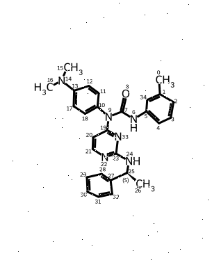 Cc1cccc(NC(=O)N(c2ccc(N(C)C)cc2)c2ccnc(N[C@@H](C)c3ccccc3)n2)c1